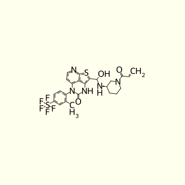 C=CC(=O)N1CCC[C@@H](NC(O)c2sc3nccc4c3c2NC(=O)N4c2ccc(S(F)(F)(F)(F)F)cc2C)C1